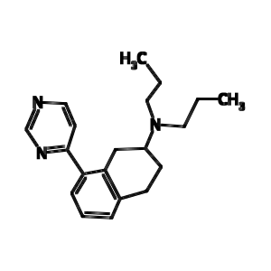 CCCN(CCC)C1CCc2cccc(-c3ccncn3)c2C1